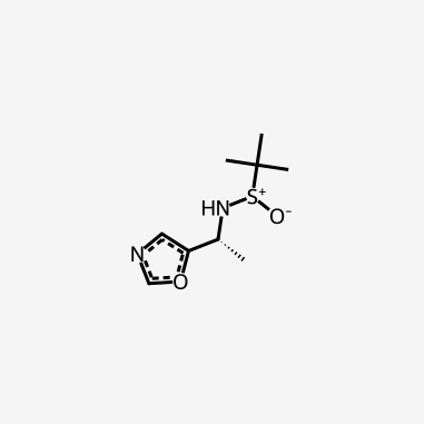 C[C@@H](N[S+]([O-])C(C)(C)C)c1cnco1